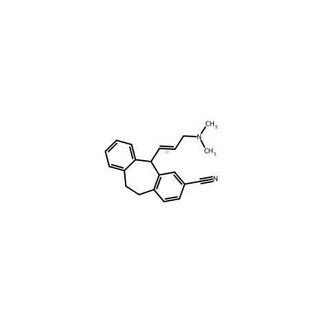 CN(C)C/C=C/C1c2ccccc2CCc2ccc(C#N)cc21